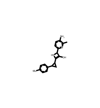 Cc1nc(C2NC(C3CC3c3ccc(C(C)(C)C)cc3)=C2O)ccc1N